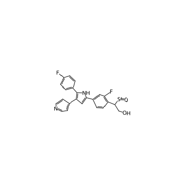 O=[S+]C(CO)c1ccc(-c2cc(-c3ccncc3)c(-c3ccc(F)cc3)[nH]2)cc1F